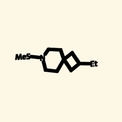 CCC1CC2(CCN(SC)CC2)C1